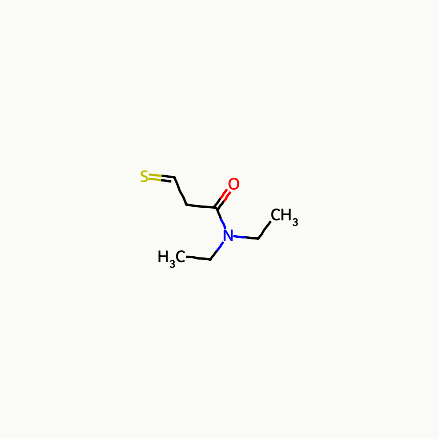 CCN(CC)C(=O)CC=S